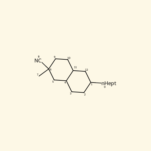 CCCCCCCC1CCC2CC(C)(C#N)CCC2C1